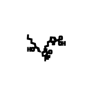 CCCCCC(O)/C=C/[C@H]1CC(F)(F)C(=O)N1CCCc1ccc(C(=O)O)s1